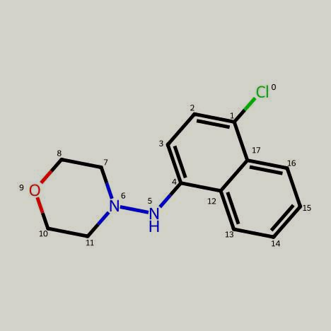 Clc1ccc(NN2CCOCC2)c2ccccc12